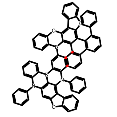 c1ccc(-c2cccc(-c3ccccc3)c2-c2c3c4c(c5c2oc2ccccc25)Oc2ccccc2B4c2cc4c(cc2O3)N(c2ccccc2)c2c3c(cc5oc6ccccc6c25)N(c2ccccc2)c2ccccc2B43)cc1